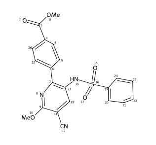 COC(=O)c1ccc(-c2nc(OC)c(C#N)cc2NS(=O)(=O)c2ccccc2)cc1